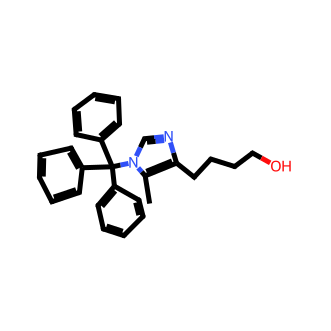 Cc1c(CCCCO)ncn1C(c1ccccc1)(c1ccccc1)c1ccccc1